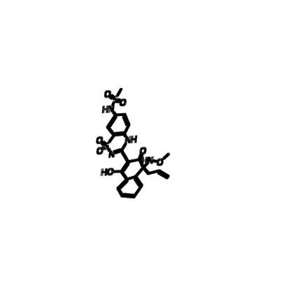 C=CCC1(NOC)C(=O)C(C2=NS(=O)(=O)c3cc(NS(C)(=O)=O)ccc3N2)=C(O)c2ccccc21